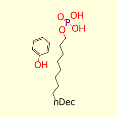 CCCCCCCCCCCCCCCCCCOP(=O)(O)O.Oc1ccccc1